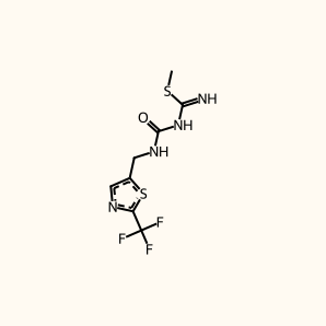 CSC(=N)NC(=O)NCc1cnc(C(F)(F)F)s1